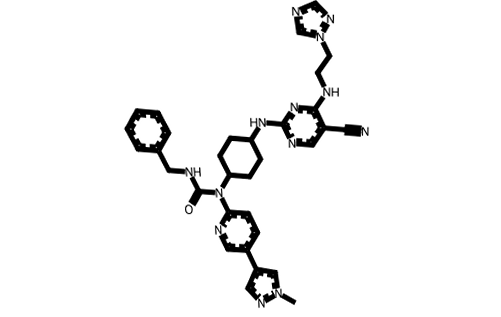 Cn1cc(-c2ccc(N(C(=O)NCc3ccccc3)C3CCC(Nc4ncc(C#N)c(NCCn5cncn5)n4)CC3)nc2)cn1